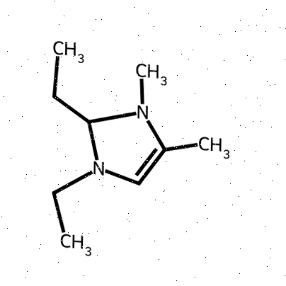 CCC1N(CC)C=C(C)N1C